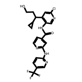 O=C(Nc1cnc(Cl)cc1C(CCO)C1CC1)c1ccnc(Nc2ccc(C(F)(F)F)cn2)c1